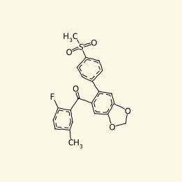 Cc1ccc(F)c(C(=O)c2cc3c(cc2-c2ccc(S(C)(=O)=O)cc2)OCO3)c1